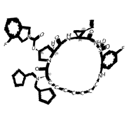 C=C[C@@H]1C[C@@]12NC(=O)[C@@H]1C[C@@H](OC(=O)N3Cc4cccc(F)c4C3)CN1C(=O)[C@@H](N(CC1CCCC1)CC1CCCC1)CCCCCCCNc1ccc(F)cc1S(=O)(=O)NC2=O